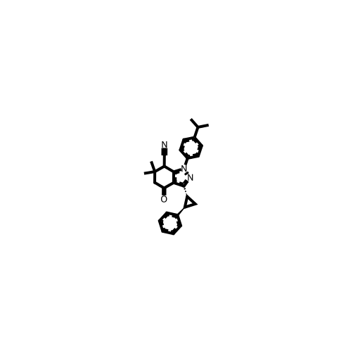 CC(C)c1ccc(-n2nc([C@@H]3C[C@H]3c3ccccc3)c3c2C(C#N)C(C)(C)CC3=O)cc1